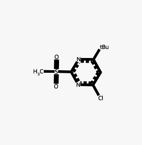 CC(C)(C)c1cc(Cl)nc(S(C)(=O)=O)n1